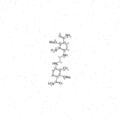 COc1c(C(N)=O)ccc(NCCNc2ccc(C(N)=O)c(OC)c2N)c1C